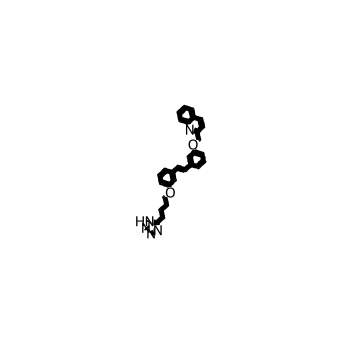 C(=Cc1cccc(OCc2ccc3ccccc3n2)c1)c1cccc(OCCCCc2nnn[nH]2)c1